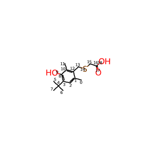 Cc1cc(C(C)(C)C)c(O)c(C)c1CSCC(=O)O